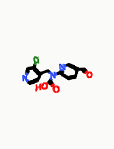 O=Cc1ccc(N(Cc2ccncc2Cl)C(=O)O)nc1